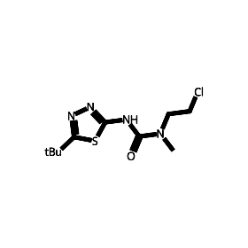 CN(CCCl)C(=O)Nc1nnc(C(C)(C)C)s1